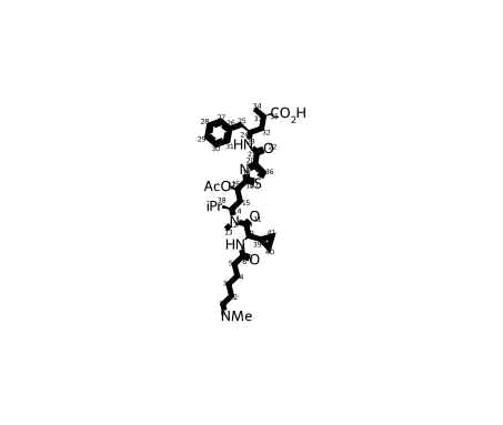 CNCCCCCC(=O)N[C@H](C(=O)N(C)[C@H](C[C@@H](OC(C)=O)c1nc(C(=O)N[C@@H](Cc2ccccc2)C[C@H](C)C(=O)O)cs1)C(C)C)C1CC1